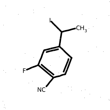 CC(I)c1ccc(C#N)c(F)c1